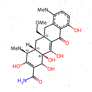 CNc1ccc(O)c2c1C[C@@]1(COC)C[C@H]3[C@H](NC)C(O)=C(C(N)=O)C(O)[C@@]3(O)C(O)=C1C2=O